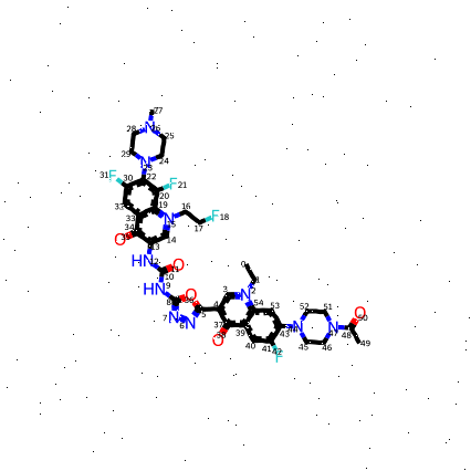 CCn1cc(-c2nnc(NC(=O)Nc3cn(CCF)c4c(F)c(N5CCN(C)CC5)c(F)cc4c3=O)o2)c(=O)c2cc(F)c(N3CCN(C(C)=O)CC3)cc21